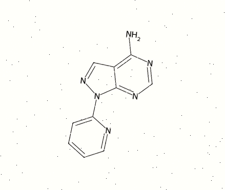 Nc1ncnc2c1cnn2-c1ccccn1